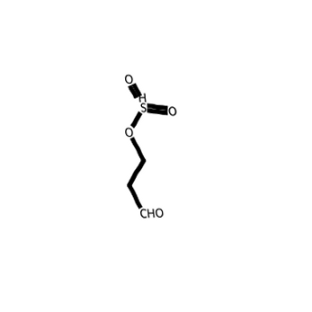 O=CCCO[SH](=O)=O